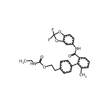 CCNC(=O)OCCc1ccc(-c2c(C)cccc2C(=O)Nc2ccc3c(c2)OC(F)(F)O3)cc1